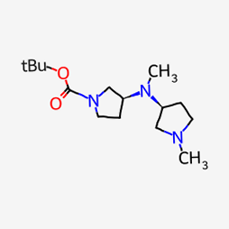 CN1CC[C@H](N(C)[C@H]2CCN(C(=O)OC(C)(C)C)C2)C1